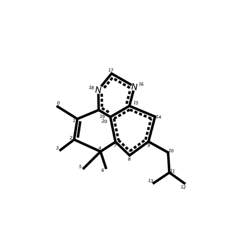 CC1=C(C)C(C)(C)c2cc(CC(C)C)cc3ncnc1c23